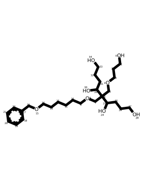 OCCCOCC(COCCCCCCOCc1ccccc1)(C(O)CCCO)C(O)CCCO